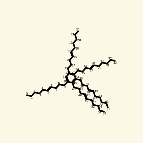 CCCCC/C=C/CCCc1[c]c(CCC/C=C/CCCCC)c(CCC/C=C/CCCCC)c(CCC/C=C/CCCCC)c1CCC/C=C/CCCCC